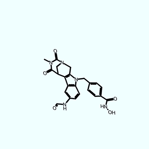 CN1C(=O)C2CN(Cc3c2c2cc(NC=O)ccc2n3Cc2ccc(C(=O)NO)cc2)C1=O